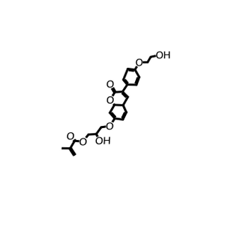 C=C(C)C(=O)OCC(O)COC1=CC2OC(=O)C(c3ccc(OCCO)cc3)=CC2C=C1